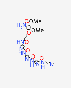 COC(=O)c1cc(OC)c(OCCCC(=O)Nc2cc(C(=O)Nc3cc(C(=O)Nc4cc(C(=O)NCCCN(C)C)n(C)c4)n(C)c3)n(C)c2)cc1N